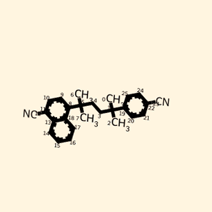 CC(C)(CCC(C)(C)c1ccc(C#N)c2ccccc12)c1ccc(C#N)cc1